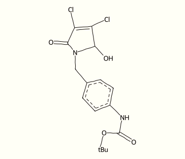 CC(C)(C)OC(=O)Nc1ccc(CN2C(=O)C(Cl)=C(Cl)C2O)cc1